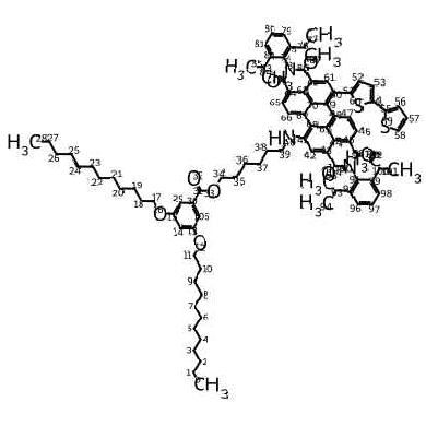 CCCCCCCCCCCCOc1cc(OCCCCCCCCCCCC)cc(C(=O)OCCCCCCNc2cc3c4c(ccc5c6c(-c7ccc(-c8cccs8)s7)cc7c8c(ccc(c2c45)c86)C(=O)N(c2c(C(C)C)cccc2C(C)C)C7=O)C(=O)N(c2c(C(C)C)cccc2C(C)C)C3=O)c1